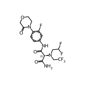 NC(=O)[C@@H](C(=O)Nc1ccc(N2CCOCC2=O)c(F)c1)N(CC(F)F)CC(F)(F)F